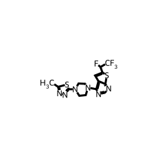 Cc1nnc(N2CCN(c3ncnc4sc(C(F)C(F)(F)F)cc34)CC2)s1